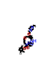 CCN1CCN(CCOc2ccc3cc2COC/C=C/CN(C(=O)COc2c(C)ccc(C)c2C)c2ccnc(n2)N3)CC1